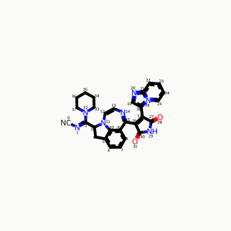 N#C/N=C(/C1Cc2cccc3c2N1C=CN=C3C1=C(c2cnc3ccccn23)C(=O)NC1=O)N1CCCCC1